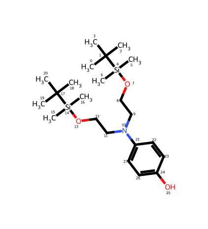 CC(C)(C)[Si](C)(C)OCCN(CCO[Si](C)(C)C(C)(C)C)c1ccc(O)cc1